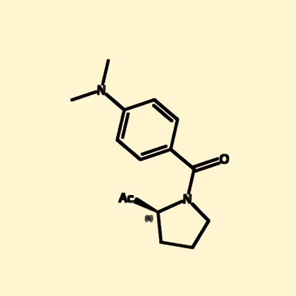 CC(=O)[C@@H]1CCCN1C(=O)c1ccc(N(C)C)cc1